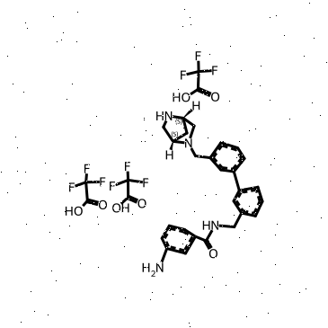 Nc1cccc(C(=O)NCc2cccc(-c3cccc(CN4C[C@@H]5C[C@H]4CN5)c3)c2)c1.O=C(O)C(F)(F)F.O=C(O)C(F)(F)F.O=C(O)C(F)(F)F